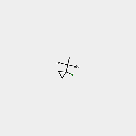 CCCCC(C)(CCC)C1(F)CC1